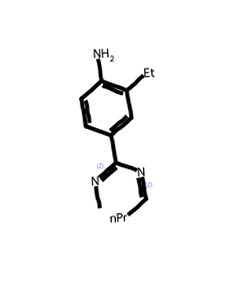 CCC/C=N\C(=N/C)c1ccc(N)c(CC)c1